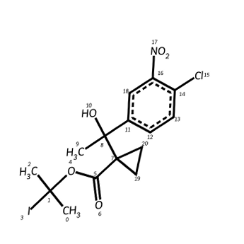 CC(C)(I)OC(=O)C1(C(C)(O)c2ccc(Cl)c([N+](=O)[O-])c2)CC1